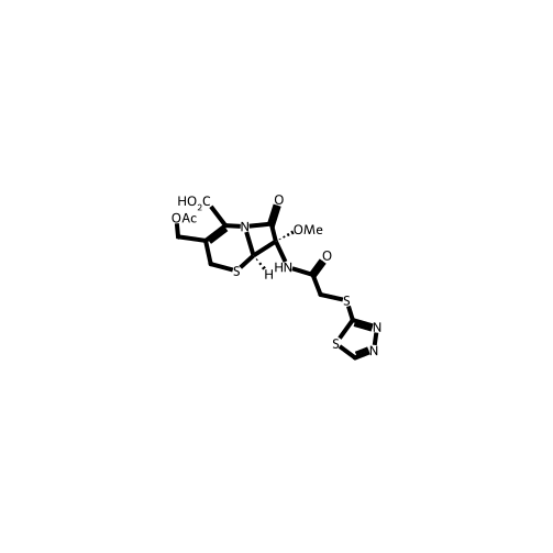 CO[C@@]1(NC(=O)CSc2nncs2)C(=O)N2C(C(=O)O)=C(COC(C)=O)CS[C@@H]21